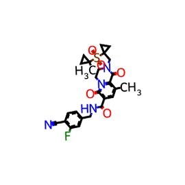 Cc1cc(C(=O)NCc2ccc(C#N)c(F)c2)c(=O)n2c1C(=O)N(CC1(S(=O)(=O)C3(C)CC3)CC1)CC2